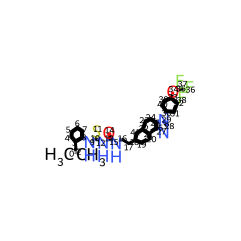 CC(C)c1ccccc1NC(=S)NC(=O)NCCc1ccc2c(ccc3c2ncn3-c2ccc(OC(F)(F)F)cc2)c1